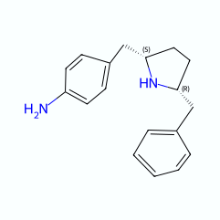 Nc1ccc(C[C@@H]2CC[C@H](Cc3ccccc3)N2)cc1